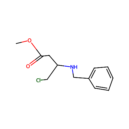 COC(=O)CC(CCl)NCc1ccccc1